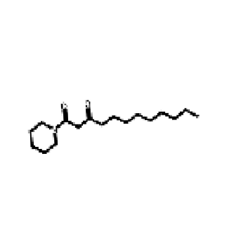 CCCCCCCCCC(=O)CC(=O)N1CCCCC1